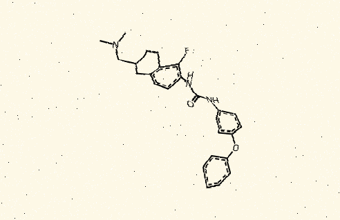 CN(C)CC1CCc2c(ccc(NC(=O)Nc3ccc(Oc4ccccc4)cc3)c2F)C1